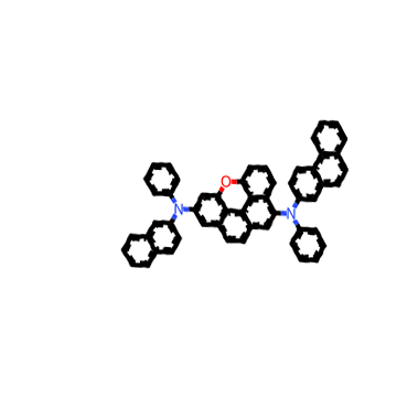 c1ccc(N(c2ccc3ccccc3c2)c2cc3c4c(ccc5cc(N(c6ccccc6)c6ccc7c(ccc8ccccc87)c6)c6cccc(c6c54)O3)c2)cc1